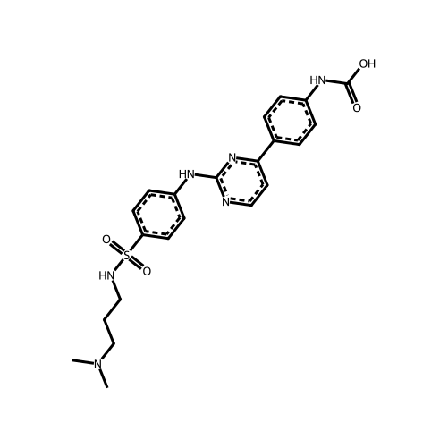 CN(C)CCCNS(=O)(=O)c1ccc(Nc2nccc(-c3ccc(NC(=O)O)cc3)n2)cc1